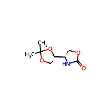 CC1(C)OC[C@@H]([C@@H]2COC(=O)N2)O1